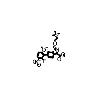 COC(=O)c1nn(COCCS(C)(C)C)c2c(F)c(-c3c(OC)ccc([N+](=O)[O-])c3F)ccc12